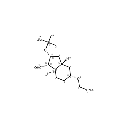 COCO[C@@H]1CC[C@@H]2[C@@H](C1)C[C@@H](O[Si](C)(C)C(C)(C)C)[C@H]2C=O